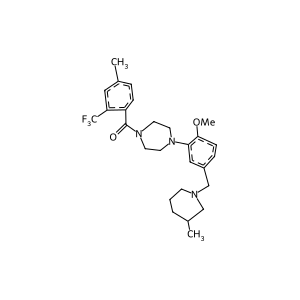 COc1ccc(CN2CCCC(C)C2)cc1N1CCN(C(=O)c2ccc(C)cc2C(F)(F)F)CC1